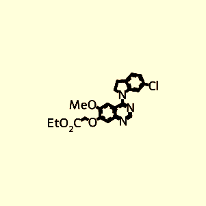 CCOC(=O)COc1cc2ncnc(N3CCc4ccc(Cl)cc43)c2cc1OC